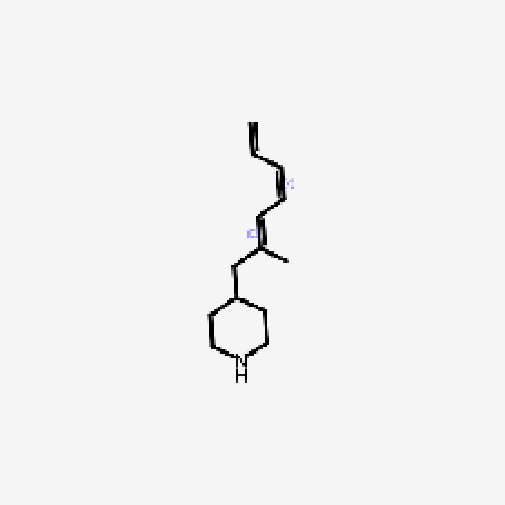 C=C/C=C\C=C(/C)CC1CCNCC1